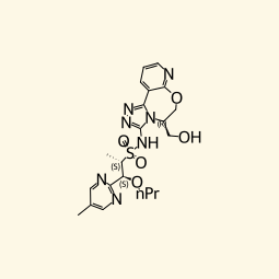 CCCO[C@@H](c1ncc(C)cn1)[C@H](C)S(=O)(=O)Nc1nnc2n1[C@H](CO)COc1ncccc1-2